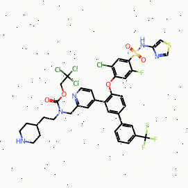 O=C(OCC(Cl)(Cl)Cl)N(CCC1CCNCC1)Cc1cc(-c2cc(-c3cccc(C(F)(F)F)c3)ccc2Oc2cc(F)c(S(=O)(=O)Nc3cscn3)cc2Cl)ccn1